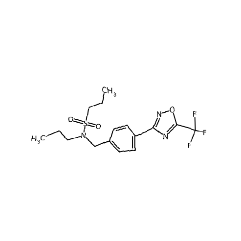 CCCN(Cc1ccc(-c2noc(C(F)(F)F)n2)cc1)S(=O)(=O)CCC